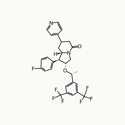 C[C@@H](O[C@H]1CN2C(=O)CC(c3ccncc3)C[C@H]2[C@@H]1c1ccc(F)cc1)c1cc(C(F)(F)F)cc(C(F)(F)F)c1